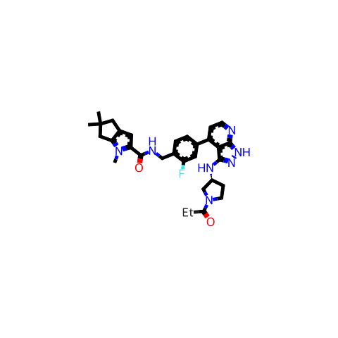 CCC(=O)N1CC[C@@H](Nc2n[nH]c3nccc(-c4ccc(CNC(=O)c5cc6c(n5C)CC(C)(C)C6)c(F)c4)c23)C1